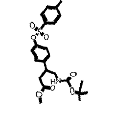 COC(=O)CC(CNC(=O)OC(C)(C)C)c1ccc(OS(=O)(=O)c2ccc(C)cc2)cc1